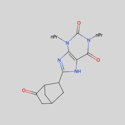 CCCn1c(=O)c2[nH]c(C3CC4CC(=O)C3C4)nc2n(CCC)c1=O